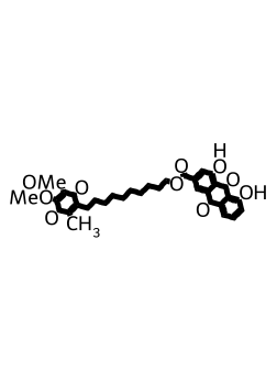 COC1=C(OC)C(=O)C(CCCCCCCCCCOC(=O)c2cc(O)c3c(c2)C(=O)c2cccc(O)c2C3=O)=C(C)C1=O